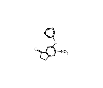 O=C1CCc2cc([N+](=O)[O-])c(Oc3ccccc3)cc21